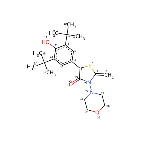 C=C1SC(c2cc(C(C)(C)C)c(O)c(C(C)(C)C)c2)C(=O)N1N1CCOCC1